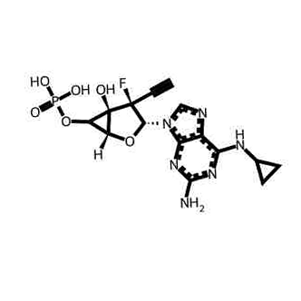 C#C[C@]1(F)[C@H](n2cnc3c(NC4CC4)nc(N)nc32)O[C@@H]2C(OP(=O)(O)O)[C@@]21O